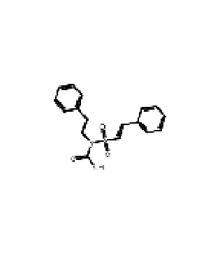 O=C(O)N(CCc1ccccc1)S(=O)(=O)C=Cc1ccccc1